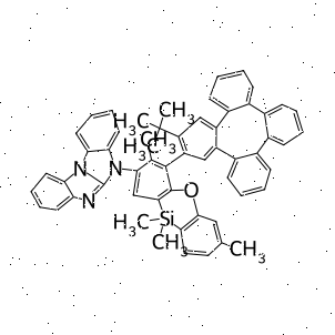 Cc1ccc2c(c1)Oc1c(cc(-n3c4ccccc4n4c5ccccc5nc34)c(C)c1-c1cc3c(cc1C(C)(C)C)-c1ccccc1-c1ccccc1-c1ccccc1-3)[Si]2(C)C